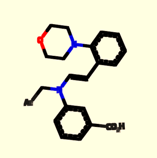 CC(=O)CN(C=Cc1ccccc1N1CCOCC1)c1cccc(C(=O)O)c1